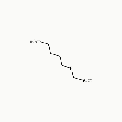 CCCCCCCCCCCC[P]CCCCCCCCC